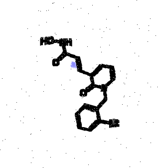 CCc1ccccc1Cn1cccc(/C=C/C(=O)NO)c1=O